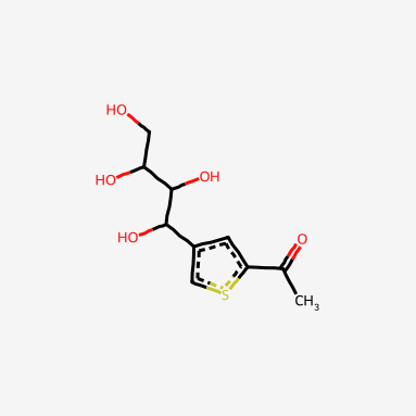 CC(=O)c1cc(C(O)C(O)C(O)CO)cs1